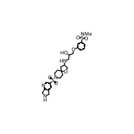 CNS(=O)(=O)c1cccc(OCC(O)CNC2COC3(CCN(S(=O)(=O)c4cnc5c(c4)CNC5)CC3)C2)c1